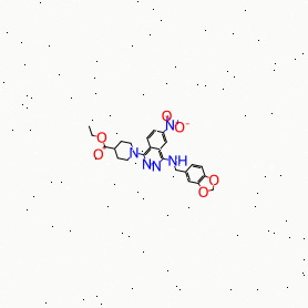 CCOC(=O)C1CCN(c2nnc(NCc3ccc4c(c3)OCO4)c3cc([N+](=O)[O-])ccc23)CC1